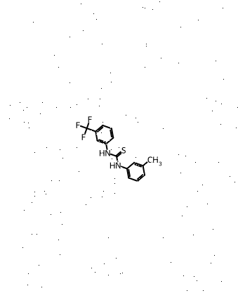 Cc1cccc(NC(=S)Nc2cccc(C(F)(F)F)c2)c1